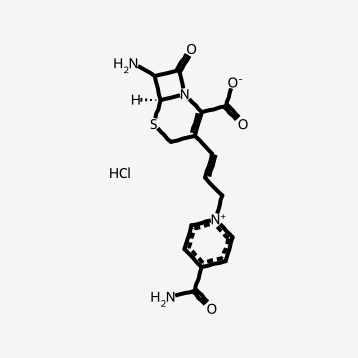 Cl.NC(=O)c1cc[n+](CC=CC2=C(C(=O)[O-])N3C(=O)C(N)[C@@H]3SC2)cc1